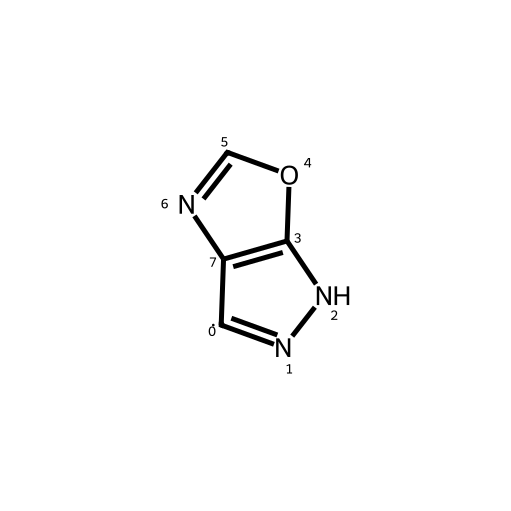 [c]1n[nH]c2ocnc12